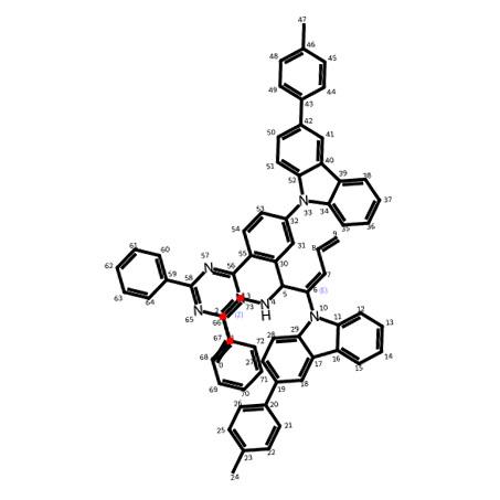 C=C/C=C\NC(/C(=C\C=C)n1c2ccccc2c2cc(-c3ccc(C)cc3)ccc21)c1cc(-n2c3ccccc3c3cc(-c4ccc(C)cc4)ccc32)ccc1-c1nc(-c2ccccc2)nc(-c2ccccc2)n1